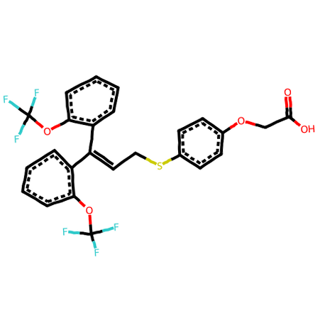 O=C(O)COc1ccc(SCC=C(c2ccccc2OC(F)(F)F)c2ccccc2OC(F)(F)F)cc1